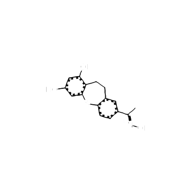 C/C(=N\O)c1ccc2c(c1)CCc1c(O)cc(O)cc1S2